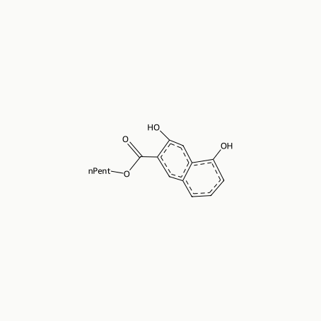 CCCCCOC(=O)c1cc2cccc(O)c2cc1O